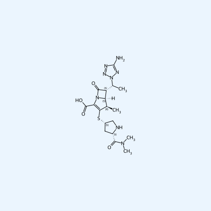 CC([C@H]1C(=O)N2C(C(=O)O)=C(S[C@@H]3CN[C@H](C(=O)N(C)C)C3)[C@H](C)[C@H]12)n1nnc(N)n1